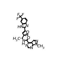 C[C@@H](NC(=O)c1ncnc2c1cnn2C)c1cc(-c2nc3ccc(C(F)(F)F)cc3[nH]2)on1